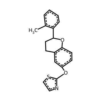 Cc1ccccc1C1CCc2cc(Oc3nccs3)ccc2O1